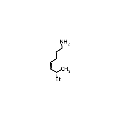 CC[C@@H](C)/C=C\CCCN